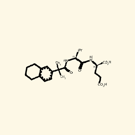 CC(C)[C@H](NC(=O)C(C)(C)c1ccc2c(c1)CCCC2)C(=O)N[C@H](CCC(=O)O)C(=O)O